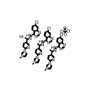 C/C(=N\Nc1ncnc2cc(Cl)ccc12)c1ccc(-n2cc[n+](C)c2)nc1.C/C(=N\Nc1ncnc2cc(Cl)ccc12)c1ccc(-n2cc[n+](C)c2)nc1.C/C(=N\Nc1ncnc2cc(Cl)ccc12)c1ccc(-n2cc[n+](C)c2)nc1.I.O=P([O-])([O-])[O-]